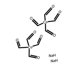 O=[CH][Co]([CH]=O)([CH]=O)[CH]=O.O=[CH][Co]([CH]=O)([CH]=O)[CH]=O.[NaH].[NaH]